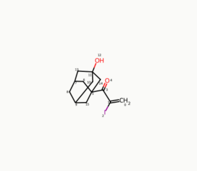 C=C(I)C(=O)C12CC3CC(CC(O)(C3)C1)C2